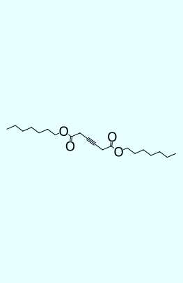 CCCCCCCOC(=O)CC#CCC(=O)OCCCCCCC